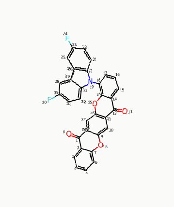 O=c1c2ccccc2oc2cc3c(=O)c4cccc(-n5c6ccc(F)cc6c6cc(F)ccc65)c4oc3cc12